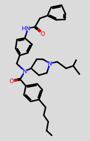 CCCCCc1ccc(C(=O)N(Cc2ccc(NC(=O)Cc3ccccc3)cc2)C2CCN(CCC(C)C)CC2)cc1